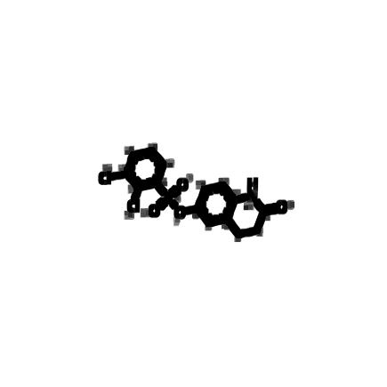 O=C1CCc2cc(OS(=O)(=O)c3cccc(Cl)c3Cl)ccc2N1